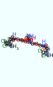 CN1Cc2c(Cl)cc(Cl)cc2C(c2cccc(S(=O)(=O)NCCOCCOCCOCCN(CCOCCOCCOCCNS(=O)(=O)c3cccc(C4CN(C)Cc5c(Cl)cc(Cl)cc54)c3)C(=O)C(O)C(O)C(N)=O)c2)C1